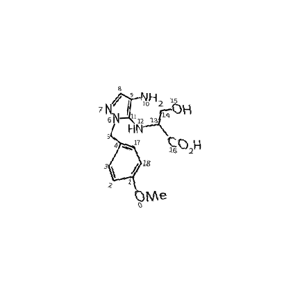 COc1ccc(Cn2ncc(N)c2NC(CO)C(=O)O)cc1